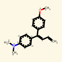 C=C/C=C(\c1ccc(OC)cc1)c1ccc(N(C)C)cc1